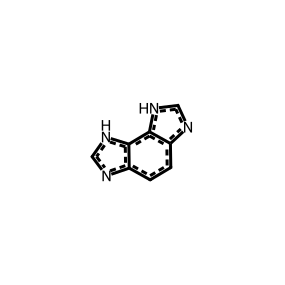 c1nc2ccc3nc[nH]c3c2[nH]1